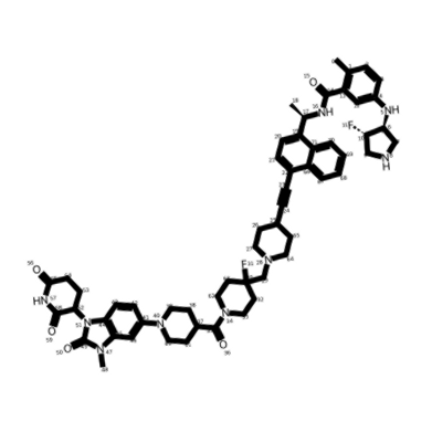 Cc1ccc(N[C@H]2CNC[C@@H]2F)cc1C(=O)N[C@H](C)c1ccc(C#CC2CCN(CC3(F)CCN(C(=O)C4CCN(c5ccc6c(c5)n(C)c(=O)n6C5CCC(=O)NC5=O)CC4)CC3)CC2)c2ccccc12